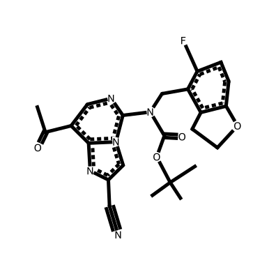 CC(=O)c1cnc(N(Cc2c(F)ccc3c2CCO3)C(=O)OC(C)(C)C)n2cc(C#N)nc12